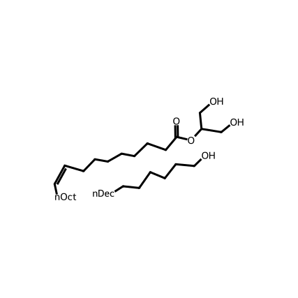 CCCCCCCC/C=C\CCCCCCCC(=O)OC(CO)CO.CCCCCCCCCCCCCCCCO